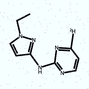 [2H]c1ccnc(Nc2ccn(CC)n2)n1